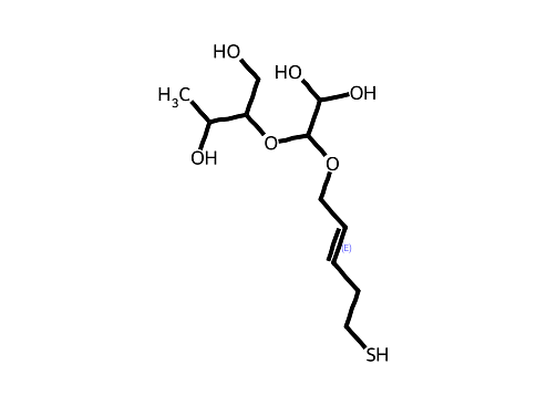 CC(O)C(CO)OC(OC/C=C/CCS)C(O)O